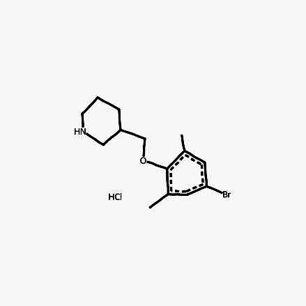 Cc1cc(Br)cc(C)c1OCC1CCCNC1.Cl